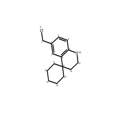 ClCc1ccc2c(c1)C1(CCCCC1)CCO2